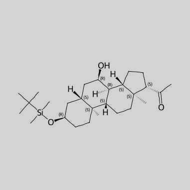 CC(=O)[C@H]1CC[C@H]2[C@@H]3[C@H](O)C[C@H]4C[C@H](O[Si](C)(C)C(C)(C)C)CC[C@]4(C)[C@H]3CC[C@]12C